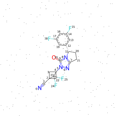 N#CC12CC(n3nc4n(c3=O)[C@H](c3cc(F)cc(F)c3)CC4)(C1)C2(F)F